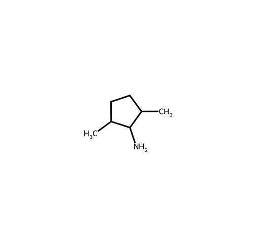 CC1CCC(C)C1N